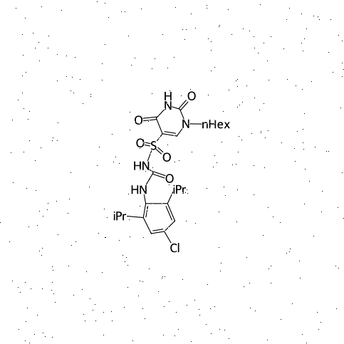 CCCCCCn1cc(S(=O)(=O)NC(=O)Nc2c(C(C)C)cc(Cl)cc2C(C)C)c(=O)[nH]c1=O